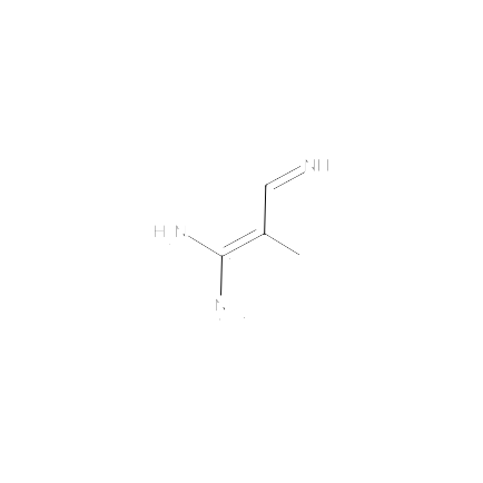 N=CC(F)=C(N)N